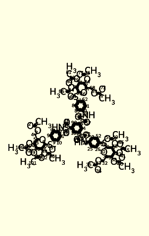 CC(=O)OC[C@H]1O[C@@H](Sc2ccc(NS(=O)(=O)c3cc(S(=O)(=O)Nc4ccc(S[C@@H]5O[C@H](COC(C)=O)[C@@H](OC(C)=O)[C@H](OC(C)=O)[C@H]5OC(C)=O)cc4)cc(S(=O)(=O)Nc4ccc(S[C@@H]5O[C@H](COC(C)=O)[C@@H](OC(C)=O)[C@H](OC(C)=O)[C@H]5OC(C)=O)cc4)c3)cc2)[C@H](OC(C)=O)[C@@H](OC(C)=O)[C@@H]1OC(C)=O